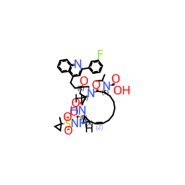 CC(C)N(C(=O)O)[C@H]1CCCCC/C=C\[C@@H]2C[C@@]2(C(=O)NS(=O)(=O)C2(C)CC2)NC(=O)[C@@H]2C[C@]3(CCc4c(c(-c5cccc(F)c5)nc5ccccc45)O3)CN2C1=O